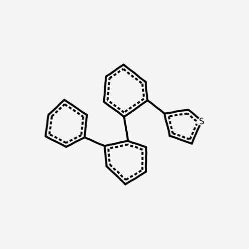 c1ccc(-c2ccccc2-c2ccccc2-c2ccsc2)cc1